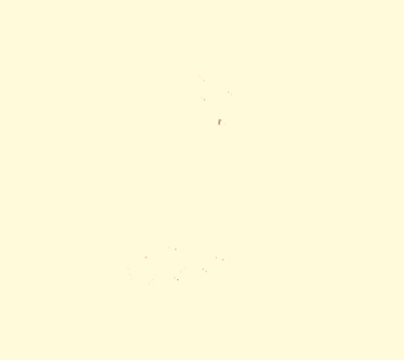 CN(C(=O)CCCCCCOC1CCCC2CN3CC(=O)NC3NC21)c1ccc2ccccc2n1